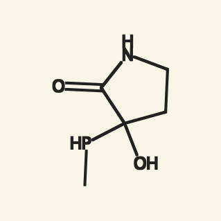 CPC1(O)CCNC1=O